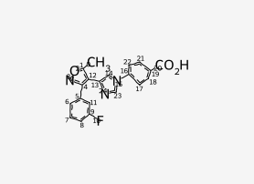 Cc1onc(-c2cccc(F)c2)c1-c1cn(-c2ccc(C(=O)O)cc2)cn1